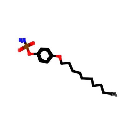 CCCCCCCCCCOc1ccc(OS(N)(=O)=O)cc1